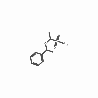 CC(OC(C)S(N)(=O)=O)c1ccccc1